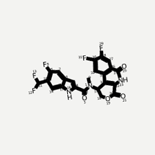 CN(C(=O)c1cc2cc(F)c(C(F)F)cc2[nH]1)C1COC(=O)c2[nH]c(=O)c3cc(F)c(F)cc3c21